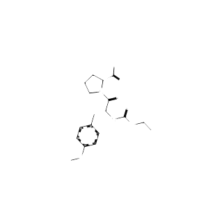 CCOC(=O)N[C@H](Cc1ccc(OC)cc1)C(=O)N1CCC[C@H]1C(=O)O